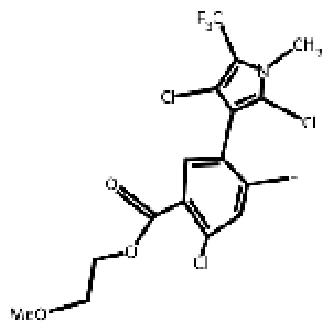 COCCOC(=O)c1cc(-c2c(Cl)c(C(F)(F)F)n(C)c2Cl)c(F)cc1Cl